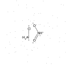 O=[NH+][O-].[AlH2][Cl]